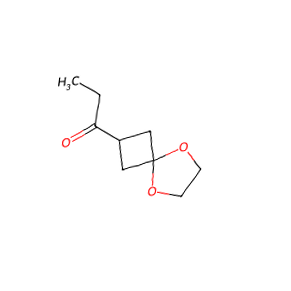 CCC(=O)C1CC2(C1)OCCO2